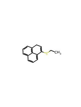 CCSC1=CCc2cccc3cccc1c23